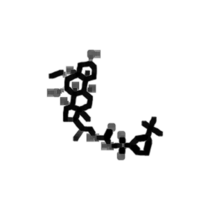 CC[C@H]1[C@@H](O)[C@H]2[C@@H]3CC[C@H]([C@H](C)CNC(=O)NS(=O)(=O)c4cccc(C(C)(C)C)c4)C3(C)CC[C@@H]2[C@@]2(C)CC[C@@H](O)C[C@@H]12